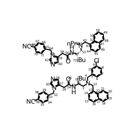 CCC(C)C(CN(Cc1cccc(Cl)c1)Cc1cccc2ccccc12)NC(=O)Cc1cncn1Cc1ccc(C#N)cc1.CCCN(Cc1cccc2ccccc12)C[C@@H](NC(=O)Cc1cncn1Cc1ccc(C#N)cc1)[C@@H](C)CC